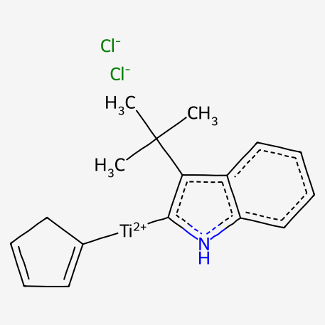 CC(C)(C)c1[c]([Ti+2][C]2=CC=CC2)[nH]c2ccccc12.[Cl-].[Cl-]